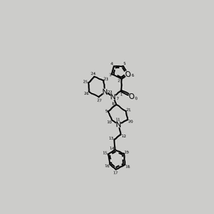 O=C(c1ccco1)N(C1CCN(CCc2ccccc2)CC1)N1CCCCC1